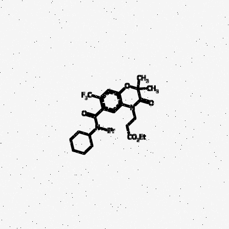 CCOC(=O)CCN1C(=O)C(C)(C)Oc2cc(C(F)(F)F)c(C(=O)N(C(C)C)C3CCCCC3)cc21